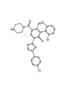 CCc1cccc(CC)c1-n1c(C(C)C)c(C(=O)N2CCNC[C@H]2C)cc(-c2nc(-c3ccc(Cl)cc3)cs2)c1=O